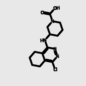 O=C(O)N1CCCC(Nc2nnc(Cl)c3c2CCCC3)C1